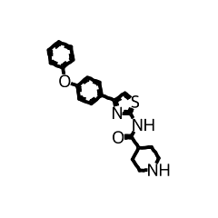 O=C(Nc1nc(-c2ccc(Oc3ccccc3)cc2)cs1)C1CCNCC1